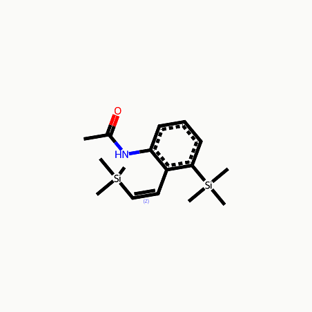 CC(=O)Nc1cccc([Si](C)(C)C)c1/C=C\[Si](C)(C)C